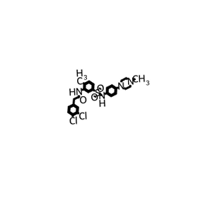 Cc1ccc(S(=O)(=O)Nc2ccc(N3CCN(C)CC3)cc2)cc1NC(=O)Cc1ccc(Cl)c(Cl)c1